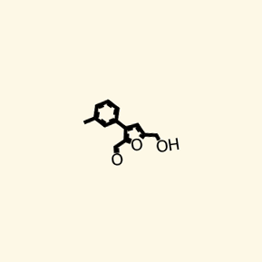 Cc1cccc(-c2cc(CO)oc2C=O)c1